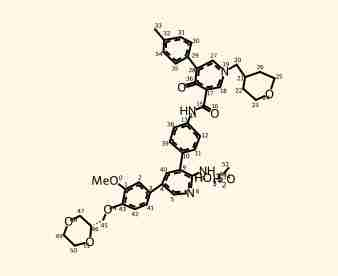 COc1cc(-c2cnc(N)c(-c3ccc(NC(=O)c4cn(CC5CCOCC5)cc(-c5ccc(C)cc5)c4=O)cc3)c2)ccc1OC[C@H]1COCCO1.CS(=O)(=O)O.O